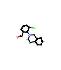 O=Cc1cccc(Cl)c1N1CCc2ccccc2C1